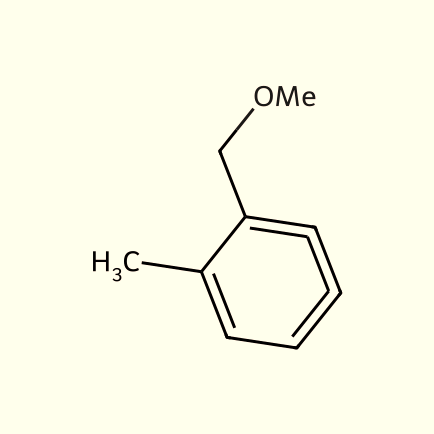 COCC1=C=C=CC=C1C